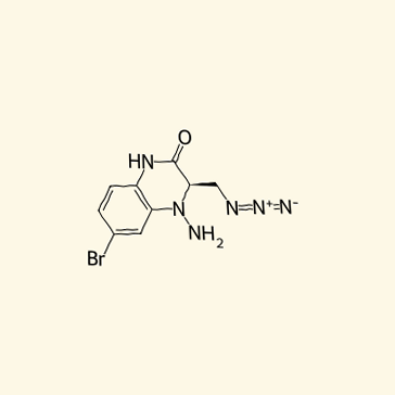 [N-]=[N+]=NC[C@@H]1C(=O)Nc2ccc(Br)cc2N1N